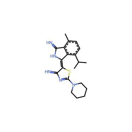 Cc1ccc(C(C)C)c2c1C(=N)NC2=C1SC(N2CCCCC2)=NC1=N